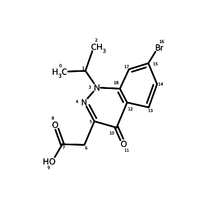 CC(C)n1nc(CC(=O)O)c(=O)c2ccc(Br)cc21